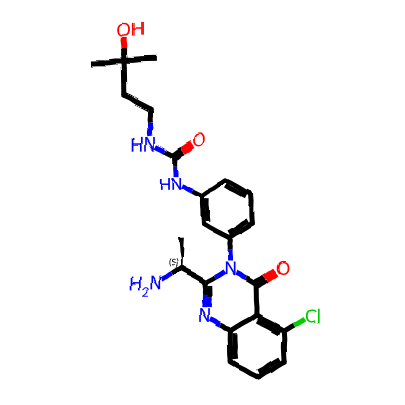 C[C@H](N)c1nc2cccc(Cl)c2c(=O)n1-c1cccc(NC(=O)NCCC(C)(C)O)c1